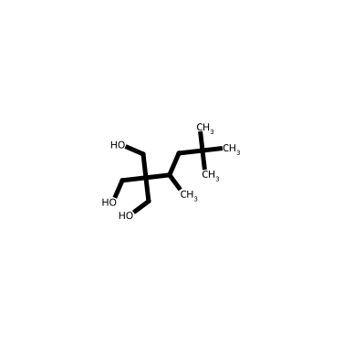 CC(CC(C)(C)C)C(CO)(CO)CO